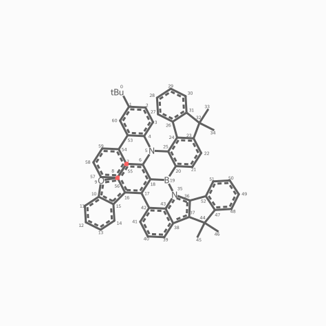 CC(C)(C)c1ccc(N2c3cc4oc5ccccc5c4c4c3B(c3ccc5c(c32)-c2ccccc2C5(C)C)n2c3c(c5cccc-4c52)C(C)(C)c2ccccc2-3)c(-c2ccccc2)c1